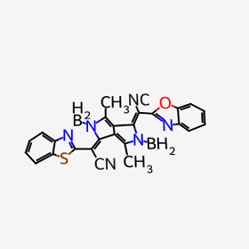 Bn1c(C)c2/c(=C(\C#N)c3nc4ccccc4s3)n(B)c(C)c2/c1=C(\C#N)c1nc2ccccc2o1